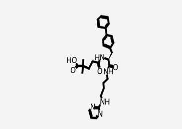 CC(C)(CCC(=O)N[C@@H](Cc1ccc(-c2ccccc2)cc1)C(=O)NCCCCNc1ncccn1)C(=O)O